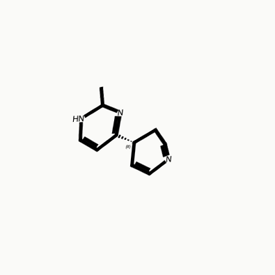 CC1N=C([C@H]2C=CN=CC2)C=CN1